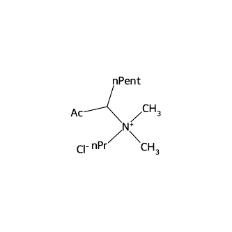 CCCCCC(C(C)=O)[N+](C)(C)CCC.[Cl-]